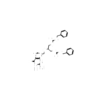 Nc1nc2c(ncn2COC(COC(=O)OCc2ccccc2)COC(=O)OCc2ccccc2)c(=O)[nH]1